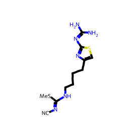 CS/C(=N\C#N)NCCCCc1csc(N=C(N)N)n1